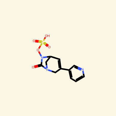 O=C1N2CC(c3cccnc3)=CC(C2)N1OS(=O)(=O)O